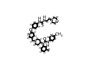 Cc1ccc(NC(=O)N(c2cccc(F)c2)C2CCN(Cc3ccc(Oc4ccc(NC(=S)NCCN5CCOCC5)cc4)nc3)CC2)cn1